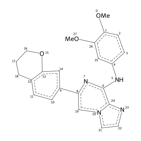 COc1ccc(Nc2nc(-c3ccc4c(c3)OCCC4)cn3ccnc23)cc1OC